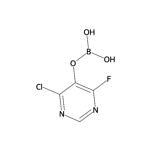 OB(O)Oc1c(F)ncnc1Cl